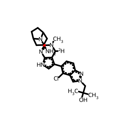 [2H]C1c2c(-c3ccc4nn(CC(C)(C)O)cc4c3Cl)c[nH]c2N=C(N2C3CCC2CC(N)C3)N1C